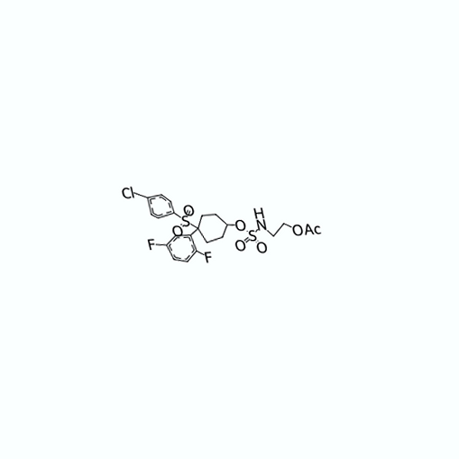 CC(=O)OCCNS(=O)(=O)OC1CCC(c2cc(F)ccc2F)(S(=O)(=O)c2ccc(Cl)cc2)CC1